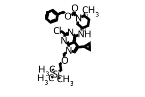 C[C@H]1CC[C@@H](Nc2nc(Cl)nc3c2c(C2CC2)cn3COCC[Si](C)(C)C)CN1C(=O)OCc1ccccc1